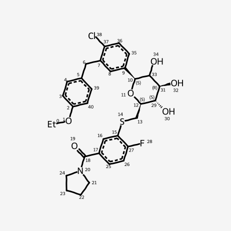 CCOc1ccc(Cc2cc([C@@H]3O[C@H](CSc4cc(C(=O)N5CCCC5)ccc4F)[C@@H](O)[C@H](O)C3O)ccc2Cl)cc1